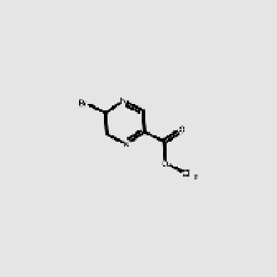 COC(=O)C1=NCC(Br)N=C1